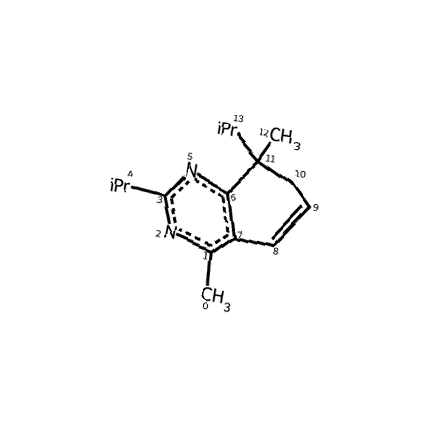 Cc1nc(C(C)C)nc2c1C=CCC2(C)C(C)C